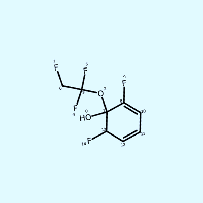 OC1(OC(F)(F)CF)C(F)=CC=CC1F